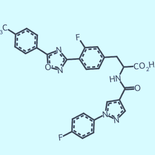 Cc1ccc(-c2nc(-c3ccc(CC(NC(=O)c4cnn(-c5ccc(F)cc5)c4)C(=O)O)cc3F)no2)cc1